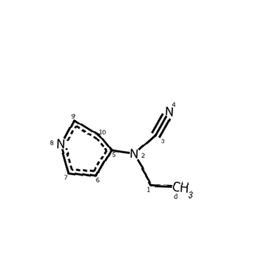 CCN(C#N)c1ccncc1